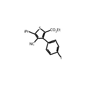 CCOC(=O)c1sc(C(C)C)c(C#N)c1-c1ccc(I)cc1